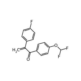 C=C(C(=O)c1ccc(OC(F)F)cc1)c1ccc(F)cc1